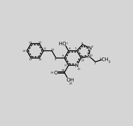 CCn1ncc2c(O)c(CCc3ccccc3)c(C(=O)O)nc21